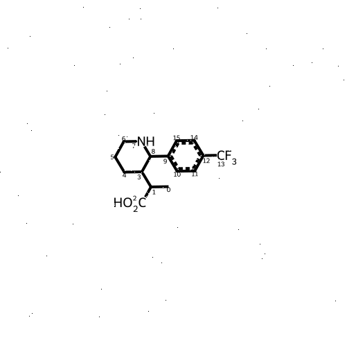 CC(C(=O)O)C1CCCNC1c1ccc(C(F)(F)F)cc1